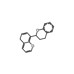 [c]1ccc2c(c1)OC(C1=C3OC=CC=C3CC=C1)CC2